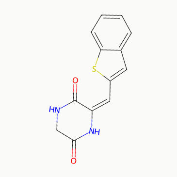 O=C1CNC(=O)C(=Cc2cc3ccccc3s2)N1